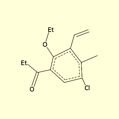 C=Cc1c(C)c(Cl)cc(C(=O)CC)c1OCC